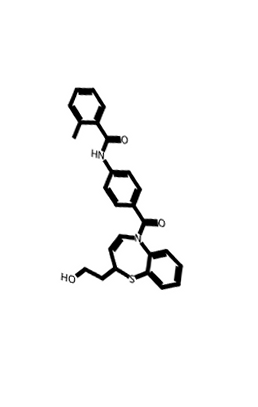 Cc1ccccc1C(=O)Nc1ccc(C(=O)N2C=CC(CCO)Sc3ccccc32)cc1